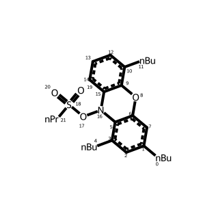 CCCCc1cc(CCCC)c2c(c1)Oc1c(CCCC)cccc1N2OS(=O)(=O)CCC